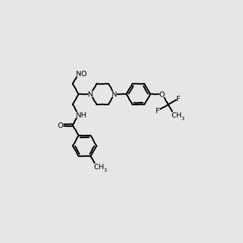 Cc1ccc(C(=O)NCC(CN=O)N2CCN(c3ccc(OC(C)(F)F)cc3)CC2)cc1